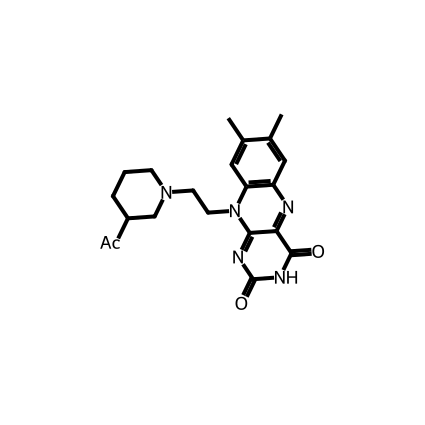 CC(=O)C1CCCN(CCn2c3nc(=O)[nH]c(=O)c-3nc3cc(C)c(C)cc32)C1